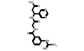 N=C(N)Nc1cccc(C(=O)NCC(=O)NC(CC(=O)O)c2cncnc2)c1